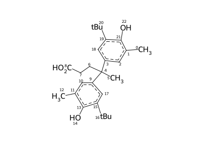 Cc1cc(C(C)(CCC(=O)O)c2cc(C)c(O)c(C(C)(C)C)c2)cc(C(C)(C)C)c1O